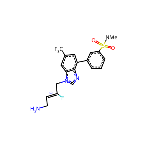 CNS(=O)(=O)c1cccc(-c2cc(C(F)(F)F)cc3c2ncn3C/C(F)=C/CN)c1